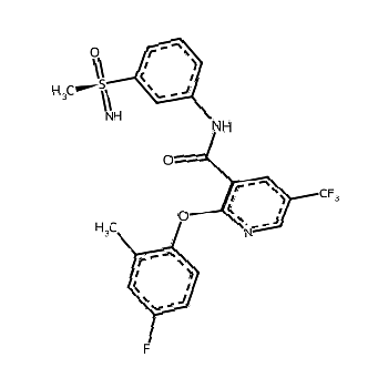 Cc1cc(F)ccc1Oc1ncc(C(F)(F)F)cc1C(=O)Nc1cccc([S@](C)(=N)=O)c1